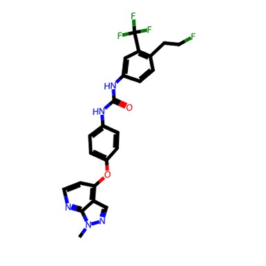 Cn1ncc2c(Oc3ccc(NC(=O)Nc4ccc(CCF)c(C(F)(F)F)c4)cc3)ccnc21